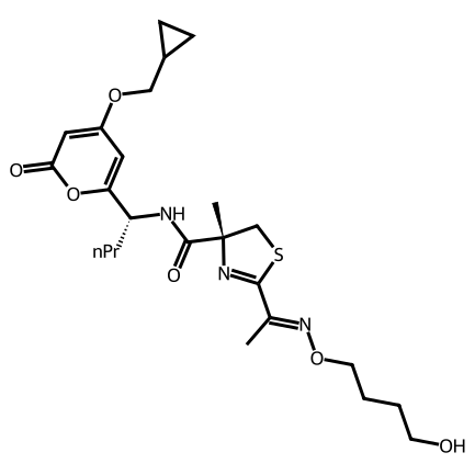 CCC[C@@H](NC(=O)[C@]1(C)CSC(/C(C)=N/OCCCCO)=N1)c1cc(OCC2CC2)cc(=O)o1